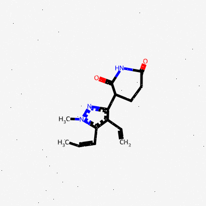 C=Cc1c(C2CCC(=O)NC2=O)nn(C)c1/C=C\C